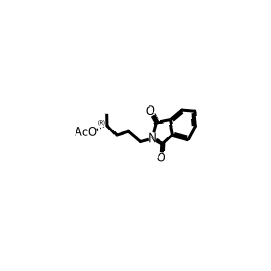 CC(=O)O[C@H](C)CCCN1C(=O)c2ccccc2C1=O